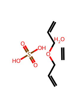 C=C.C=CCOCC=C.O.O=S(=O)(O)O